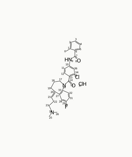 Cc1ccccc1C(=O)Nc1ccc(C(=O)N2CCC/C(=C/CCN(C)C)c3cc(F)ccc32)c(Cl)c1.Cl